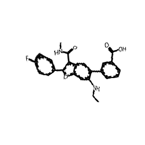 CCNc1cc2oc(-c3ccc(F)cc3)c(C(=O)NC)c2cc1-c1cccc(C(=O)O)c1